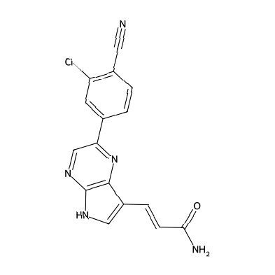 N#Cc1ccc(-c2cnc3[nH]cc(/C=C/C(N)=O)c3n2)cc1Cl